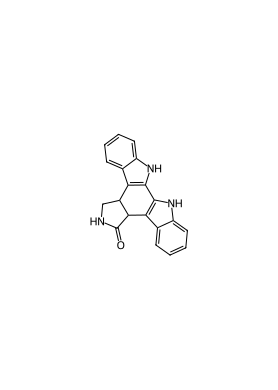 O=C1NCC2c3c([nH]c4ccccc34)-c3[nH]c4ccccc4c3C12